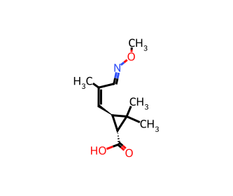 CO/N=C/C(C)=C[C@@H]1[C@@H](C(=O)O)C1(C)C